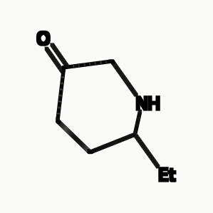 CCC1CCC(=O)CN1